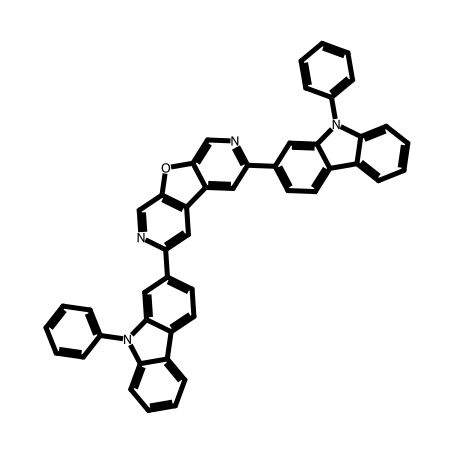 c1ccc(-n2c3ccccc3c3ccc(-c4cc5c(cn4)oc4cnc(-c6ccc7c8ccccc8n(-c8ccccc8)c7c6)cc45)cc32)cc1